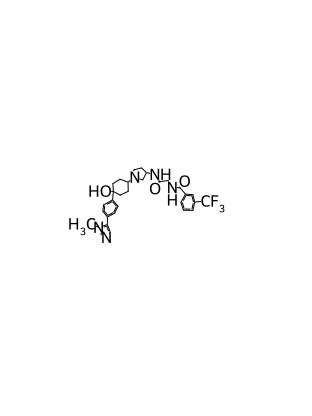 Cn1cncc1-c1ccc(C2(O)CCC(N3CCC(NC(=O)CNC(=O)c4cccc(C(F)(F)F)c4)C3)CC2)cc1